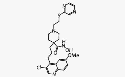 COc1ccc2ncc(Cl)c(CCCC3(C(=O)NO)CCN(CCSc4cnccn4)CC3)c2c1